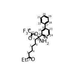 CCC(=O)CCCCC[C@](N)(OC(=O)C(F)(F)F)c1cc(-c2ccccc2)ccn1